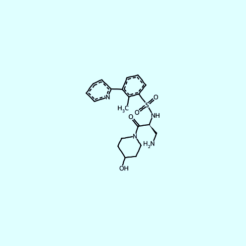 Cc1c(-c2ccccn2)cccc1S(=O)(=O)N[C@@H](CN)C(=O)N1CCC(O)CC1